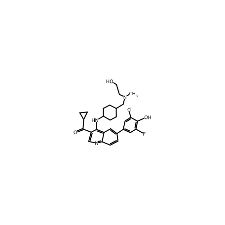 CN(CCO)CC1CCC(Nc2c(C(=O)C3CC3)cnc3ccc(-c4cc(F)c(O)c(Cl)c4)cc23)CC1